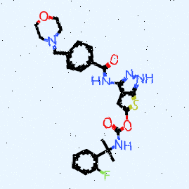 CC(C)(NC(=O)Oc1cc2c(NC(=O)c3ccc(CN4CCOCC4)cc3)n[nH]c2s1)c1ccccc1F